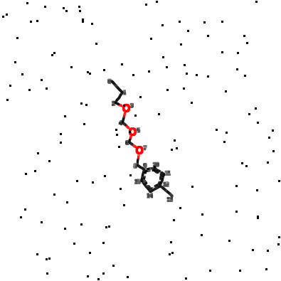 CCCOCOCOCc1ccc(C)cc1